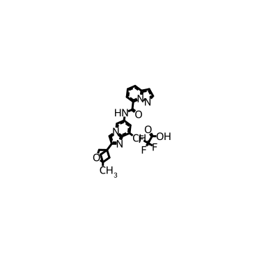 Cc1cc(NC(=O)c2cccc3ccnn23)cn2cc(C34COC(C)(C3)C4)nc12.O=C(O)C(F)(F)F